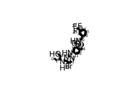 CC[C@H](CO)Nc1nc(Nc2ccc(C)c(S(=O)(=O)NCc3cccc(C(F)(F)F)c3)c2)ncc1Br